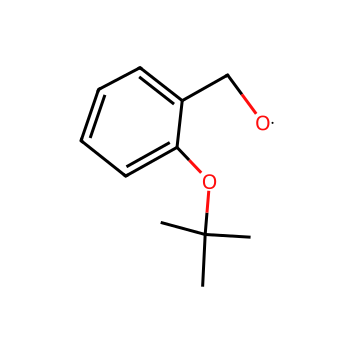 CC(C)(C)Oc1ccccc1C[O]